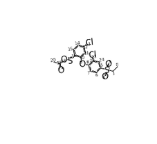 CCS(=O)(=O)c1ccc(Oc2cc(Cl)ccc2SOC(C)=O)c(Cl)c1